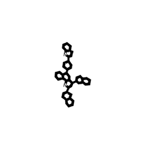 c1ccc2cc(-c3cc(-c4ccc5ccccc5c4)c4cc(-c5ccc(-c6ccc7ccccc7n6)cc5)c5ccccc5c4n3)ccc2c1